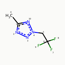 Cc1nnn(CC(F)(F)F)n1